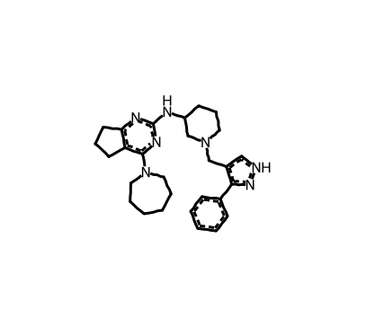 c1ccc(-c2n[nH]cc2CN2CCCC(Nc3nc4c(c(N5CCCCCC5)n3)CCC4)C2)cc1